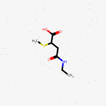 CCNC(=O)CC(SC)C(=O)O